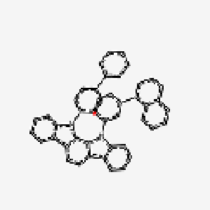 c1ccc(-c2ccc(-n3c4ccccc4c4ccc5c6ccccc6n(-c6cccc(-c7cccc8ccccc78)c6)c5c43)cc2)cc1